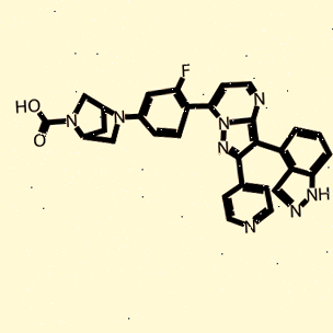 O=C(O)N1CC2CC1CN2c1ccc(-c2ccnc3c(-c4cccc5[nH]ncc45)c(-c4ccncc4)nn23)c(F)c1